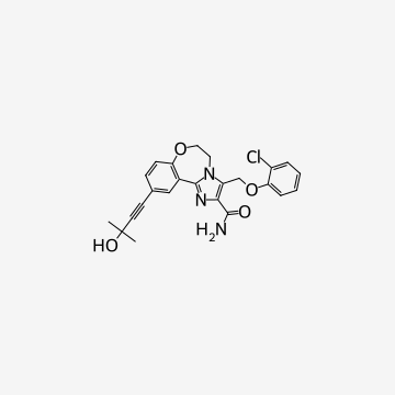 CC(C)(O)C#Cc1ccc2c(c1)-c1nc(C(N)=O)c(COc3ccccc3Cl)n1CCO2